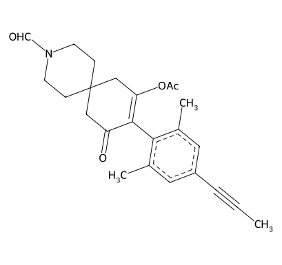 CC#Cc1cc(C)c(C2=C(OC(C)=O)CC3(CCN(C=O)CC3)CC2=O)c(C)c1